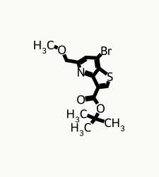 COCc1cc(Br)c2scc(C(=O)OC(C)(C)C)c2n1